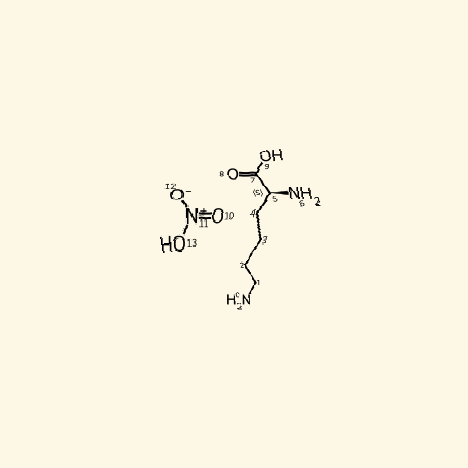 NCCCC[C@H](N)C(=O)O.O=[N+]([O-])O